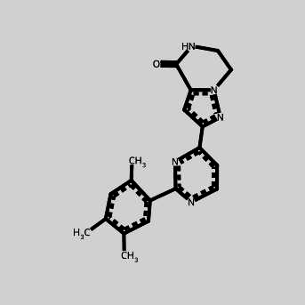 Cc1cc(C)c(-c2nccc(-c3cc4n(n3)CCNC4=O)n2)cc1C